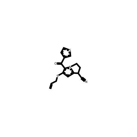 C=CCSc1cc2n(c1C(=O)c1ccsc1)CCC2C#N